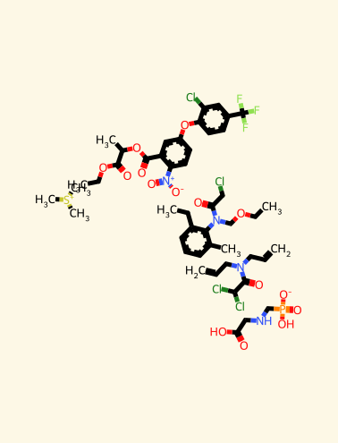 C=CCN(CC=C)C(=O)C(Cl)Cl.CCOC(=O)C(C)OC(=O)c1cc(Oc2ccc(C(F)(F)F)cc2Cl)ccc1[N+](=O)[O-].CCOCN(C(=O)CCl)c1c(C)cccc1CC.C[S+](C)C.O=C(O)CNCP(=O)([O-])O